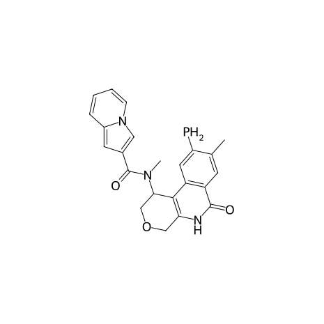 Cc1cc2c(=O)[nH]c3c(c2cc1P)C(N(C)C(=O)c1cc2ccccn2c1)COC3